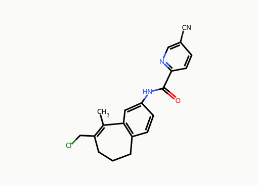 CC1=C(CCl)CCCc2ccc(NC(=O)c3ccc(C#N)cn3)cc21